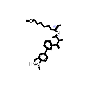 C=C=CCCCCCC(=C/C)/N=C(\C)C(C)C(=C)c1cccc(-c2ccc3c(c2)CNN3C)c1